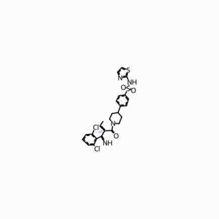 C/C=C(/C(=N)c1c(Cl)cccc1Cl)C(=O)N1CCC(c2ccc(S(=O)(=O)Nc3nccs3)cc2)CC1